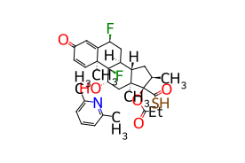 CCC(=O)O[C@]1(C(=O)S)[C@H](C)C[C@H]2[C@@H]3C[C@H](F)C4=CC(=O)C=C[C@]4(C)[C@@]3(F)[C@@H](O)C[C@@]21C.Cc1cccc(C)n1